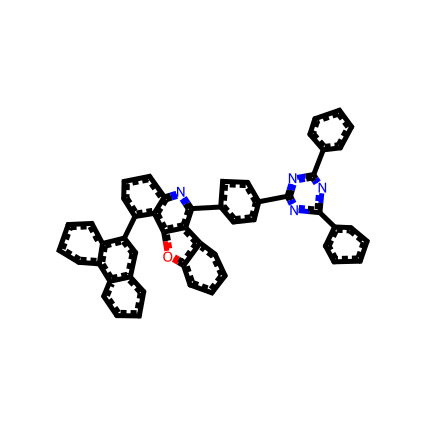 c1ccc(-c2nc(-c3ccccc3)nc(-c3ccc(-c4nc5cccc(-c6cc7ccccc7c7ccccc67)c5c5oc6ccccc6c45)cc3)n2)cc1